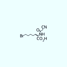 N#CCC(=O)NC(=CCCCCBr)C(=O)O